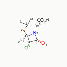 CC1(C)S[C@@H]2C(Cl)C(=O)N2[C@H]1C(=O)O